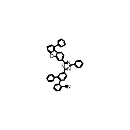 N#Cc1ccccc1-c1ccc(-c2nc(-c3ccccc3)nc(-c3ccc4c(c3)oc3cccc(-c5ccccc5)c34)n2)cc1-c1ccccc1